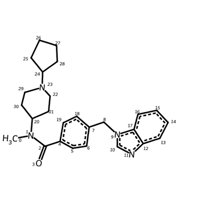 CN(C(=O)c1ccc(Cn2cnc3ccccc32)cc1)C1CCN(C2CCCC2)CC1